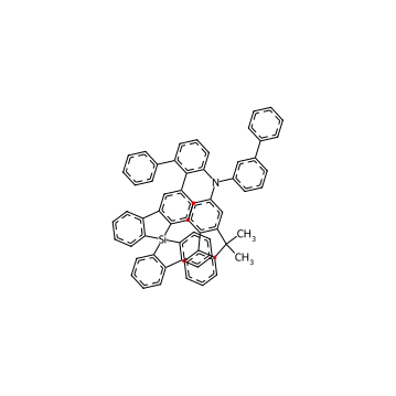 CC1(C)c2ccccc2-c2ccc(N(c3cccc(-c4ccccc4)c3)c3cccc(-c4ccccc4)c3-c3ccc4c(c3)-c3ccccc3[Si]43c4ccccc4-c4ccccc43)cc21